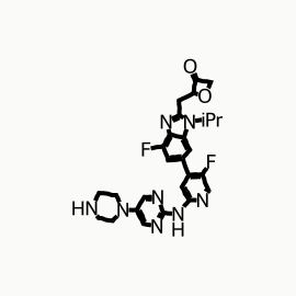 CC(C)n1c(CC2OCC2=O)nc2c(F)cc(-c3cc(Nc4ncc(N5CCNCC5)cn4)ncc3F)cc21